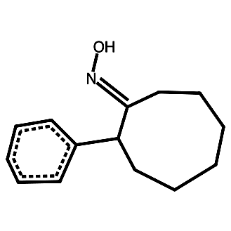 ON=C1CCCCCCC1c1ccccc1